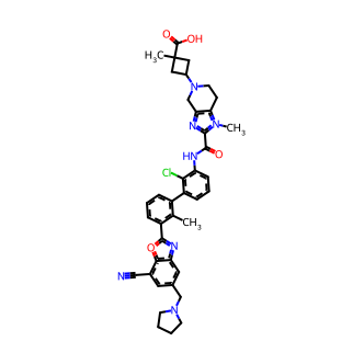 Cc1c(-c2nc3cc(CN4CCCC4)cc(C#N)c3o2)cccc1-c1cccc(NC(=O)c2nc3c(n2C)CCN(C2CC(C)(C(=O)O)C2)C3)c1Cl